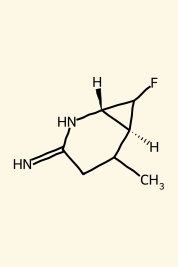 CC1CC(=N)N[C@@H]2C(F)[C@@H]12